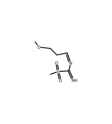 COCC/C=N\C(=N)S(C)(=O)=O